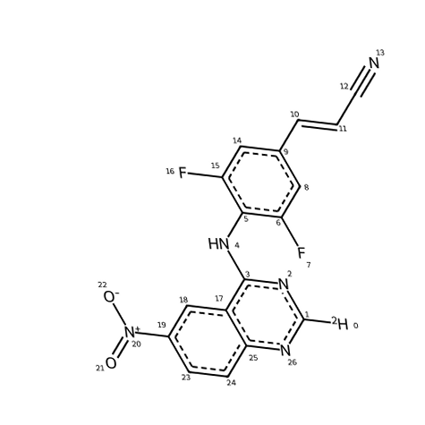 [2H]c1nc(Nc2c(F)cc(C=CC#N)cc2F)c2cc([N+](=O)[O-])ccc2n1